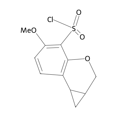 COc1ccc2c(c1S(=O)(=O)Cl)OCC1CC21